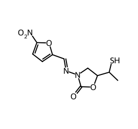 CC(S)C1CN(/N=C/c2ccc([N+](=O)[O-])o2)C(=O)O1